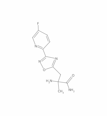 CC(N)(Cc1nc(-c2ccc(F)cn2)no1)C(N)=O